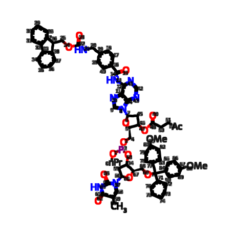 CCCOP(OC[C@H]1O[C@@H](n2cnc3c(NC(=O)c4ccc(CNC(=O)OCC5c6ccccc6-c6ccccc65)cc4)ncnc32)CC1OC(=O)CCC(C)=O)OC1C[C@H](n2cc(C)c(=O)[nH]c2=O)O[C@@H]1COC(c1ccccc1)(c1ccc(OC)cc1)c1ccc(OC)cc1